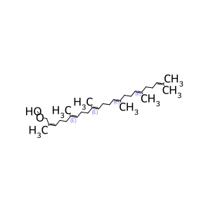 CC(C)=CCC/C(C)=C/CC/C(C)=C/CC/C=C(\C)CC/C=C(\C)CCC=C(C)COO